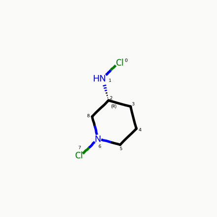 ClN[C@@H]1CCCN(Cl)C1